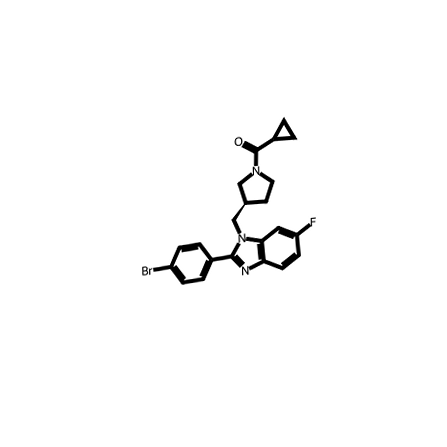 O=C(C1CC1)N1CC[C@@H](Cn2c(-c3ccc(Br)cc3)nc3ccc(F)cc32)C1